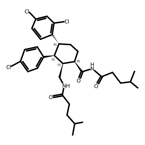 CC(C)CCC(=O)NC[C@H]1[C@@H](c2ccc(Cl)cc2)[C@H](c2ccc(Cl)cc2Cl)CC[C@H]1C(=O)NC(=O)CCC(C)C